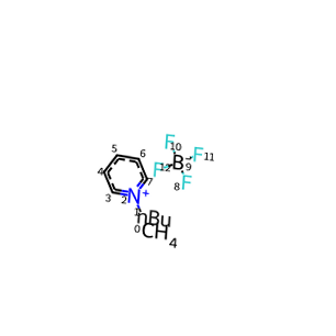 C.CCCC[n+]1ccccc1.F[B-](F)(F)F